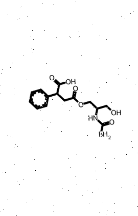 BC(=O)NC(CO)COC(=O)CC(C(=O)O)c1ccccc1